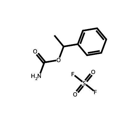 CC(OC(N)=O)c1ccccc1.O=S(=O)(F)F